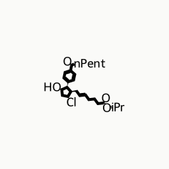 CCCCCC(=O)c1ccc([C@@H]2[C@@H](CC=CCCCC(=O)OC(C)C)[C@H](Cl)C[C@H]2O)cc1